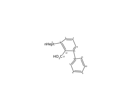 CCCCCCCc1cccc(-c2ccccc2)c1C(=O)O